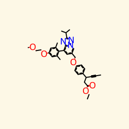 CC#CC(CC(=O)OCC)c1ccc(OCc2cc(-c3c(C)cc(OCCOC)cc3C)c3nc(C(C)C)nn3c2)cc1